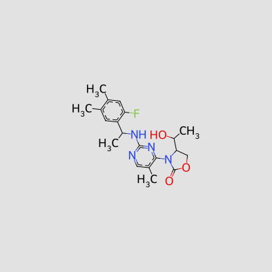 Cc1cc(F)c(C(C)Nc2ncc(C)c(N3C(=O)OCC3C(C)O)n2)cc1C